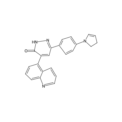 O=c1[nH]nc(-c2ccc(N3C=CCC3)cc2)cc1-c1cccc2ncccc12